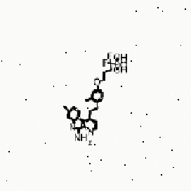 Cc1ccc2c(c1)nc(N)c1nccc(CCc3ccc(OCCCC(F)(F)P(=O)(O)O)cc3C)c12